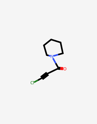 O=C(C#CCl)N1CCCCC1